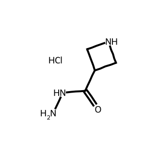 Cl.NNC(=O)C1CNC1